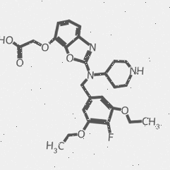 CCOc1cc(CN(c2nc3cccc(OCC(=O)O)c3o2)C2CCNCC2)cc(OCC)c1F